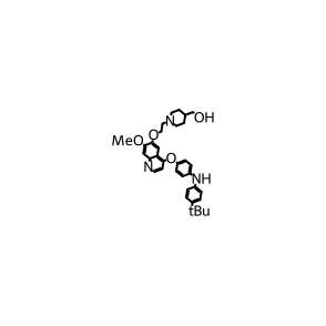 COc1cc2nccc(Oc3ccc(Nc4ccc(C(C)(C)C)cc4)cc3)c2cc1OCCN1CCC(CO)CC1